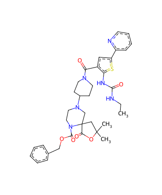 CCNC(=O)Nc1sc(-c2ccccn2)cc1C(=O)N1CCC(N2CCN(C(=O)OCc3ccccc3)C3(C2)CC(C)(C)OC3=O)CC1